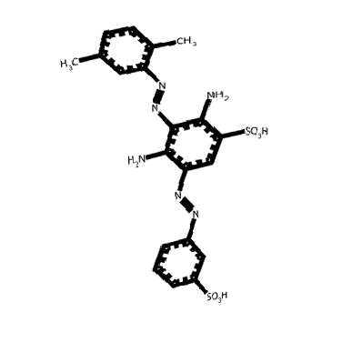 Cc1ccc(C)c(/N=N/c2c(N)c(/N=N/c3cccc(S(=O)(=O)O)c3)cc(S(=O)(=O)O)c2N)c1